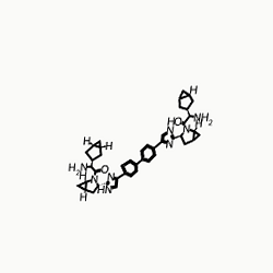 NC(C(=O)N1[C@@H]2CC2C[C@H]1c1nc(-c2ccc(-c3ccc(-c4c[nH]c([C@@H]5C[C@H]6C[C@H]6N5C(=O)C(N)[C@H]5C[C@@H]6C[C@@H]6C5)n4)cc3)cc2)c[nH]1)[C@H]1CC2C[C@@H]2C1